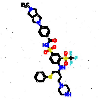 CN1CC2CN(c3ccc(C(=O)NS(=O)(=O)c4ccc(NC(CCN5CCNCC5)CSc5ccccc5)c(S(=O)(=O)C(F)(F)F)c4)cc3)CC2C1